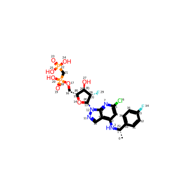 C[C@H](Nc1cc(Cl)nc2c1cnn2[C@@H]1O[C@H](COP(=O)(O)CP(=O)(O)O)[C@@H](O)[C@@H]1F)c1ccc(F)cc1